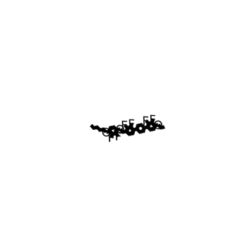 CCCCCOc1ccc(OCc2ccc(C3CCC(c4ccc(OCC)c(F)c4F)CC3)c(F)c2F)c(F)c1F